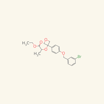 CCOC(=O)C(C)OC1(c2ccc(OCc3cccc(Br)c3)cc2)COC1